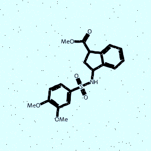 COC(=O)C1CC(NS(=O)(=O)c2ccc(OC)c(OC)c2)c2ccccc21